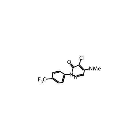 CNc1cnn(-c2ccc(C(F)(F)F)cc2)c(=O)c1Cl